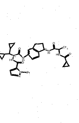 CC(C)n1nccc1C(=O)N[C@H](C(=O)Nc1ccc2c(c1)CC[C@H]2NC(=O)C(NC(=O)C1CC1)C(F)(F)F)C(C1CC1)C1CC1